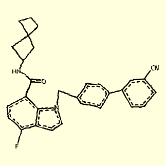 N#Cc1cccc(-c2ccc(Cn3ccc4c(F)ccc(C(=O)NC5CC6(CCC6)C5)c43)cc2)c1